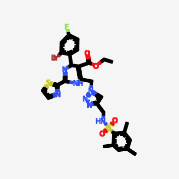 CCOC(=O)C1=C(Cn2cc(CNS(=O)(=O)c3c(C)cc(C)cc3C)nn2)NC(c2nccs2)=NC1c1ccc(F)cc1Br